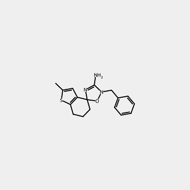 Cc1cc2c(s1)CCCC21N=C(N)N(Cc2ccccc2)O1